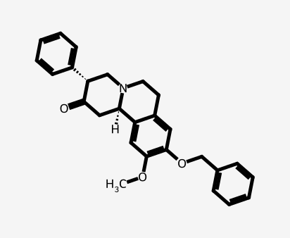 COc1cc2c(cc1OCc1ccccc1)CCN1C[C@@H](c3ccccc3)C(=O)C[C@H]21